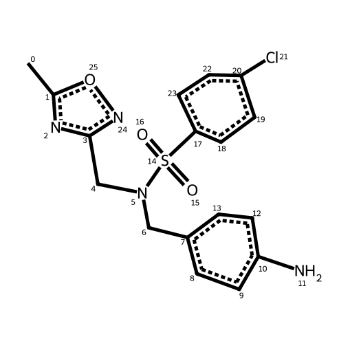 Cc1nc(CN(Cc2ccc(N)cc2)S(=O)(=O)c2ccc(Cl)cc2)no1